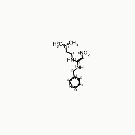 CN(C)CCNC(=C[N+](=O)[O-])NCc1cccnc1